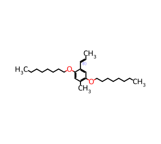 C/C=C/c1cc(OCCCCCCCC)c(C)cc1OCCCCCCCC